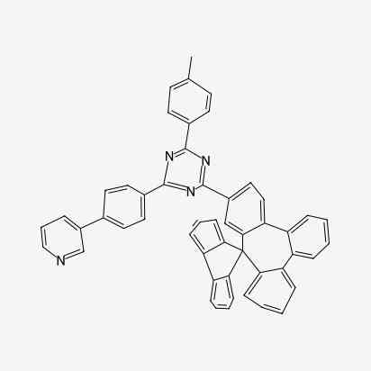 Cc1ccc(-c2nc(-c3ccc(-c4cccnc4)cc3)nc(-c3ccc4c(c3)C3(c5ccccc5-c5ccccc5-4)c4ccccc4-c4ccccc43)n2)cc1